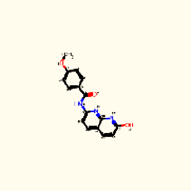 COc1ccc(C(=O)Nc2ccc3ccc(O)nc3n2)cc1